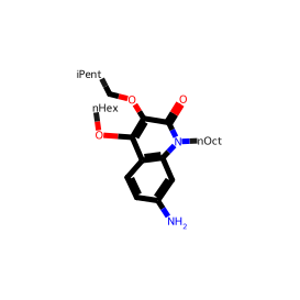 CCCCCCCCn1c(=O)c(OCC(C)CCC)c(OCCCCCC)c2ccc(N)cc21